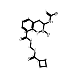 CCC(=O)NC1Cc2cccc(C(=O)OCOC(=O)C3CCC3)c2OB1O